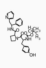 CC(C)(C)OC(=O)NC(Cc1ccc(O)cc1)C(=O)N1CCCC1C(=O)NC(Cc1ccccn1)c1ccccc1